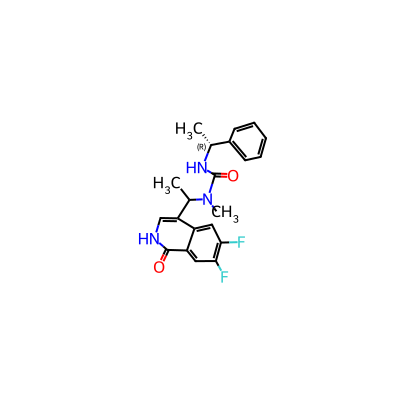 CC(c1c[nH]c(=O)c2cc(F)c(F)cc12)N(C)C(=O)N[C@H](C)c1ccccc1